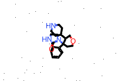 O=C1NCCN1C1(c2ccccc2)CCOCC1C1CCNCC1